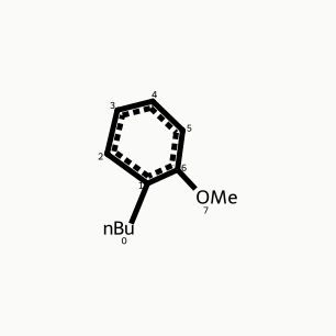 CCCCc1cc[c]cc1OC